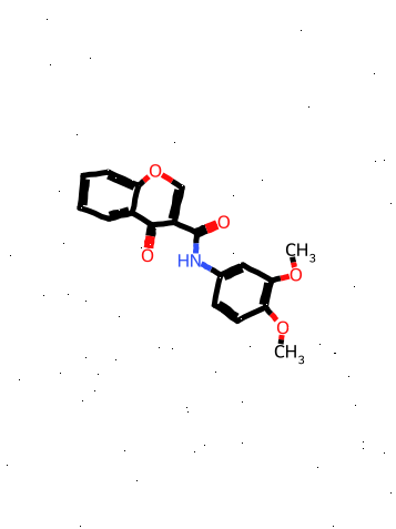 COc1ccc(NC(=O)c2coc3ccccc3c2=O)cc1OC